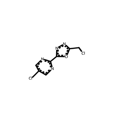 ClCc1nnc(-c2ncc(Cl)cn2)o1